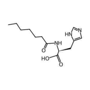 CCCCCCC(=O)N[C@@H](Cc1cnc[nH]1)C(=O)O